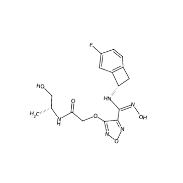 C[C@H](CO)NC(=O)COc1nonc1/C(=N\O)N[C@H]1Cc2ccc(F)cc21